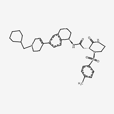 Cc1ccc(S(=O)(=O)N2CCNC(=O)[C@H]2CC(=O)N[C@@H]2CCCc3cc(C4=CCN(CC5CCCCC5)CC4)ccc32)cc1